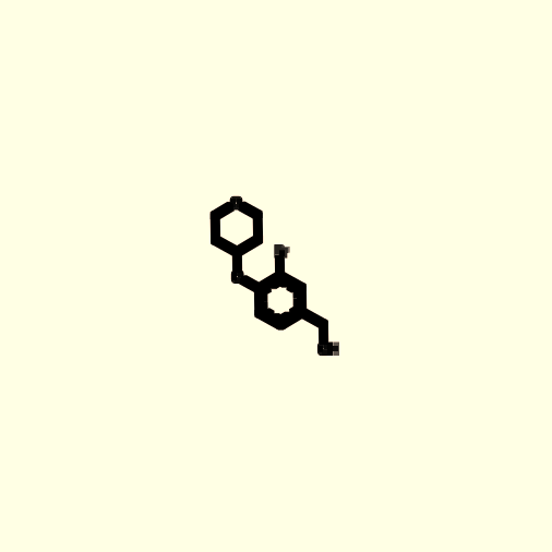 OCc1ccc(OC2CCOCC2)c(Br)c1